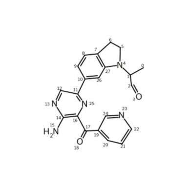 CC(C=O)N1CCc2ccc(-c3cnc(N)c(C(=O)c4cccnc4)n3)cc21